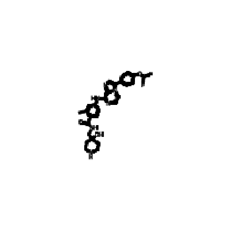 Cc1cc(Nc2nccn3c(-c4ccc(OC(F)F)cc4)cnc23)ccc1C(=O)NCC1(O)CCNCC1